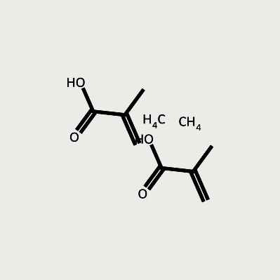 C.C.C=C(C)C(=O)O.C=C(C)C(=O)O